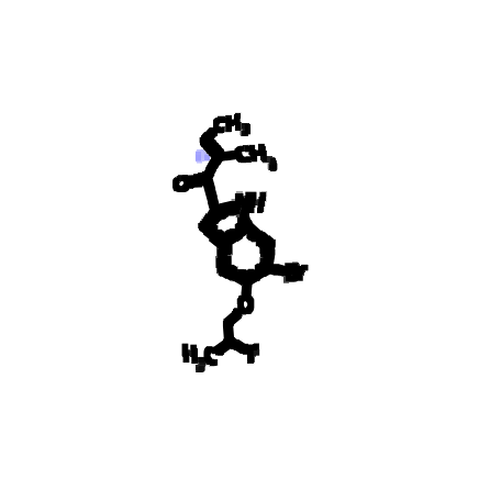 C/C=C(\C)C(=O)c1cc2cc(OCC(C)F)c(Br)cc2[nH]1